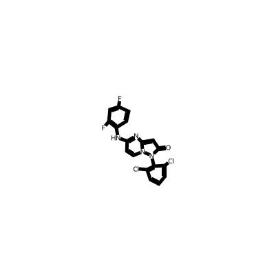 O=c1cc2nc(Nc3ccc(F)cc3F)ccn2n1-c1c(Cl)cccc1Cl